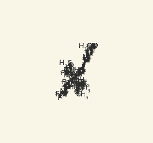 COC(=O)N[C@H](C(=O)N[C@@H](Cc1ccc(C#Cc2ccc(N3CCN(C4(C)COC4)CC3)nc2)cc1)[C@@H](O)CN(Cc1c(F)cc(-c2ccn(C(F)F)n2)cc1F)NC(=O)[C@@H](NC(=O)OC)C(C)(C)C(F)(F)F)C(C)(C)C(F)(F)F